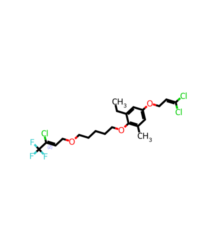 CCc1cc(OCC=C(Cl)Cl)cc(C)c1OCCCCCOC/C=C(\Cl)C(F)(F)F